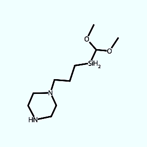 COC(OC)[SiH2]CCCN1CCNCC1